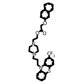 O=C(COc1ccc2ccccc2c1)OCCN1CCN(CCCN2c3ccccc3Sc3ccc(C(F)(F)F)cc32)CC1